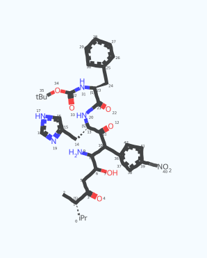 [CH2]C(C)[C@H](C)C(=O)CC(O)C(N)C(C(=O)[C@H](Cc1c[nH]cn1)NC(=O)[C@H](Cc1ccccc1)NC(=O)OC(C)(C)C)c1ccc([N+](=O)[O-])cc1